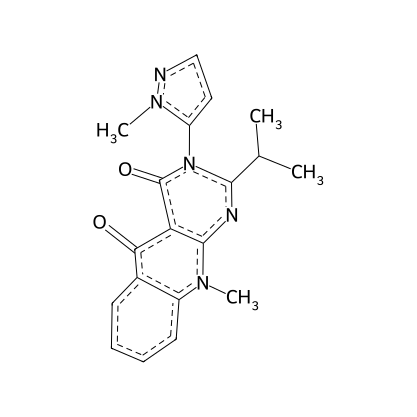 CC(C)c1nc2c(c(=O)c3ccccc3n2C)c(=O)n1-c1ccnn1C